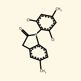 Cc1cc(Cl)c(N2C(=O)Cc3cc(C)ccc32)c(Cl)c1